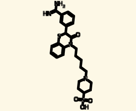 N=C(N)c1cccc(C2Sc3ccccc3N(CCCCCN3CCC(S(=O)(=O)O)CC3)C2=O)c1